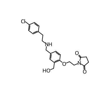 O=C1CCC(=O)N1CCOc1ccc(CNCCc2ccc(Cl)cc2)cc1CO